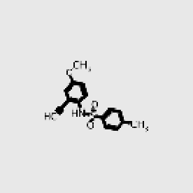 C#Cc1cc(OC)ccc1NS(=O)(=O)c1ccc(C)cc1